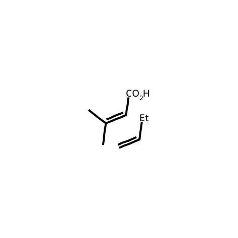 C=CCC.CC(C)=CC(=O)O